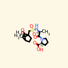 C[C@H](NS(=O)(=O)CC12CCC(CC1=O)C2(C)C)C(=O)N1CCC[C@H]1C(=O)O